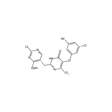 COc1nc(Cl)ncc1Cc1nc(C(F)(F)F)c(Oc2cc(Cl)cc(C#N)c2)c(=O)[nH]1